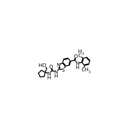 Cc1cccc(C)c1NC(=O)c1ccc2nc(NC(=O)NC3(CO)CCCC3)sc2c1